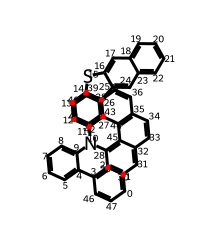 c1ccc(-c2ccccc2N(c2ccc3sc4cc5ccccc5cc4c3c2)c2cccc3ccc4ccc5ccccc5c4c23)cc1